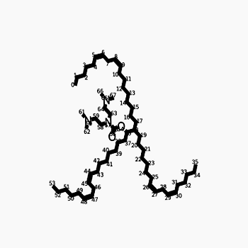 CCCCC/C=C\C/C=C\CCCCCCCCC(CCCCCCC/C=C\C/C=C\CCCCC)C(CCCCCCC/C=C\C/C=C\CCCCC)OC(=O)N(CCN(C)C)CCN(C)C